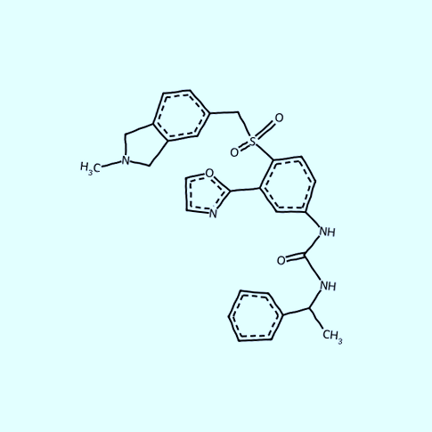 CC(NC(=O)Nc1ccc(S(=O)(=O)Cc2ccc3c(c2)CN(C)C3)c(-c2ncco2)c1)c1ccccc1